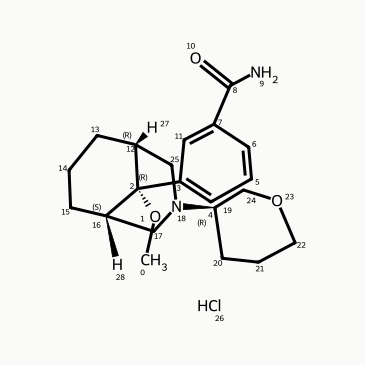 CO[C@@]1(c2cccc(C(N)=O)c2)[C@@H]2CCC[C@H]1CN([C@@H]1CCCOC1)C2.Cl